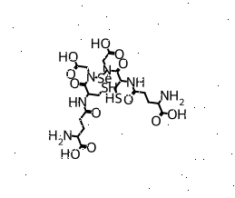 NC(CCC(=O)NC(CS)C(=O)N(CC(=O)O)[Se]N(CC(=O)O)C(=O)C(CS)NC(=O)CCC(N)C(=O)O)C(=O)O